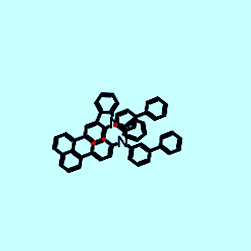 c1ccc(-c2cccc(N(c3ccc(-c4cccc5cccc(-c6ccc7c(c6)c6ccccc6n7-c6ccccc6)c45)cc3)c3cccc(-c4ccccc4)c3)c2)cc1